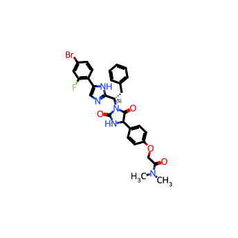 CN(C)C(=O)COc1ccc(C2NC(=O)N([C@@H](Cc3ccccc3)c3ncc(-c4ccc(Br)cc4F)[nH]3)C2=O)cc1